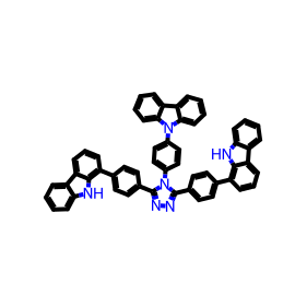 c1ccc2c(c1)[nH]c1c(-c3ccc(-c4nnc(-c5ccc(-c6cccc7c6[nH]c6ccccc67)cc5)n4-c4ccc(-n5c6ccccc6c6ccccc65)cc4)cc3)cccc12